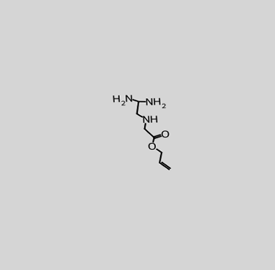 C=CCOC(=O)CNCC(N)N